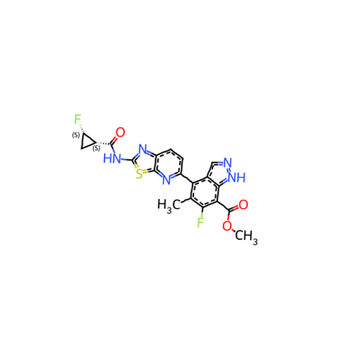 COC(=O)c1c(F)c(C)c(-c2ccc3nc(NC(=O)[C@@H]4C[C@@H]4F)sc3n2)c2cn[nH]c12